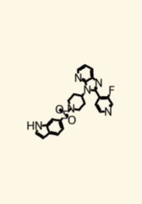 O=S(=O)(c1ccc2cc[nH]c2c1)N1CCC(n2c(-c3ccncc3F)nc3cccnc32)CC1